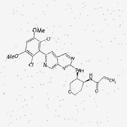 C=CC(=O)N[C@H]1CCOC[C@H]1Nc1ncc2cc(-c3c(Cl)c(OC)cc(OC)c3Cl)ncc2n1